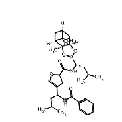 CC(C)C[C@H](NC(=O)C1CC([C@H](CC(C)C)NC(=O)c2ccccc2)=NO1)B1O[C@@H]2C[C@@H]3C[C@@H](C3(C)C)[C@]2(C)O1